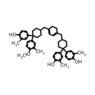 COc1ccc(C2(c3ccc(O)c(C)c3)CCC(CC3=CC=C(CC4CCC(c5ccc(O)c(C)c5)(c5ccc(O)c(C)c5)CC4)CC3)CC2)cc1C